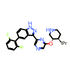 CC(C)[C@@H]1CCNC[C@H]1Oc1cncc(-c2n[nH]c3ccc(-c4c(F)cccc4F)cc23)n1